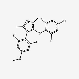 COc1cc(F)c(-c2c(C)nn(C)c2Oc2c(F)cc(Cl)cc2F)c(F)c1